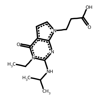 CCn1c(NC(C)C)nc2c(ccn2CCC(=O)O)c1=O